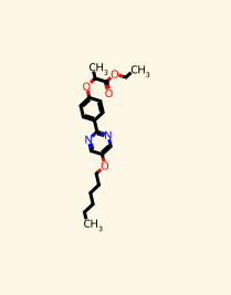 CCCCCCOc1cnc(-c2ccc(OC(C)C(=O)OCC)cc2)nc1